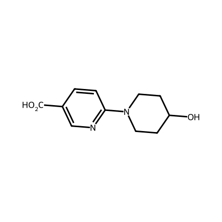 O=C(O)c1ccc(N2CCC(O)CC2)nc1